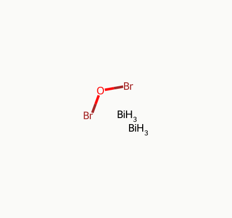 BrOBr.[BiH3].[BiH3]